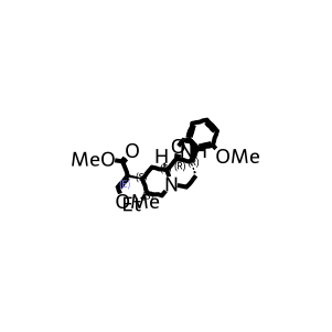 CC[C@@H]1CN2CC[C@@]34CCCO[C@@]3(Nc3cccc(OC)c34)[C@@H]2C[C@@H]1/C(=C\OC)C(=O)OC